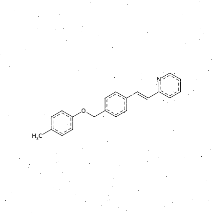 Cc1ccc(OCc2ccc(/C=C/c3ccccn3)cc2)cc1